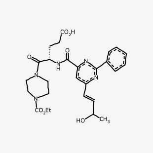 CCOC(=O)N1CCN(C(=O)[C@H](CCC(=O)O)NC(=O)c2cc(/C=C/C(C)O)nc(-c3ccccc3)n2)CC1